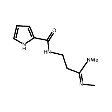 C/N=C(/CCNC(=O)c1ccc[nH]1)NC